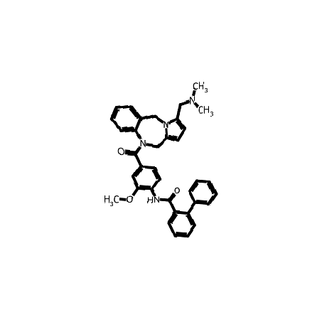 COc1cc(C(=O)N2Cc3ccc(CN(C)C)n3Cc3ccccc32)ccc1NC(=O)c1ccccc1-c1ccccc1